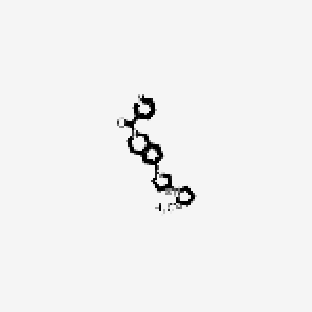 C[C@H]1CCCN1[C@H]1CCN(c2ccc3c(c2)CCN(C(=O)c2cccnc2)C3)C1